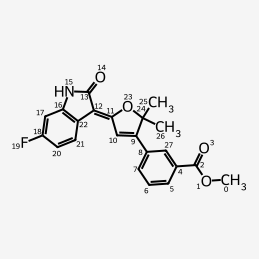 COC(=O)c1cccc(C2=CC(=C3C(=O)Nc4cc(F)ccc43)OC2(C)C)c1